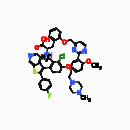 COc1ccccc1-c1nccc(COc2ccccc2CC(Nc2cncc3sc(-c4ccc(F)cc4)c(-c4ccc(OCCN5CCN(C)CC5)c(Cl)c4C)c23)C(=O)O)n1